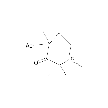 CC(=O)C1(C)CC[C@H](C)C(C)(C)C1=O